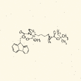 CN(C(=O)OCC1c2ccccc2-c2ccccc21)[C@@H](CCCCCNC(=O)OC(C)(C)C)C(=O)O